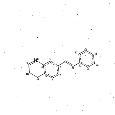 C(=Cc1ccc2c(c1)N=CCC2)c1ccccc1